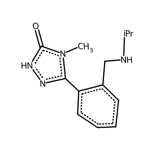 CC(C)NCc1ccccc1-c1n[nH]c(=O)n1C